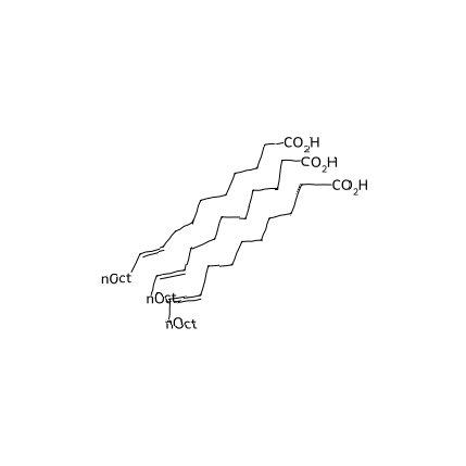 CCCCCCCCC=CCCCCCCCC(=O)O.CCCCCCCCC=CCCCCCCCC(=O)O.CCCCCCCCC=CCCCCCCCC(=O)O